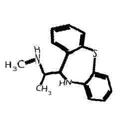 CNC(C)C1Nc2ccccc2Sc2ccccc21